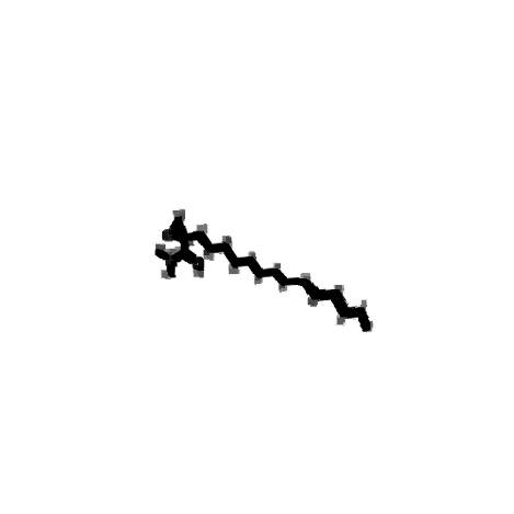 CCCCCCCCCCCCCCC1(C(=O)N(C)C)CO1